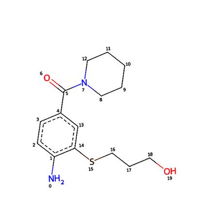 Nc1ccc(C(=O)N2CCCCC2)cc1SCCCO